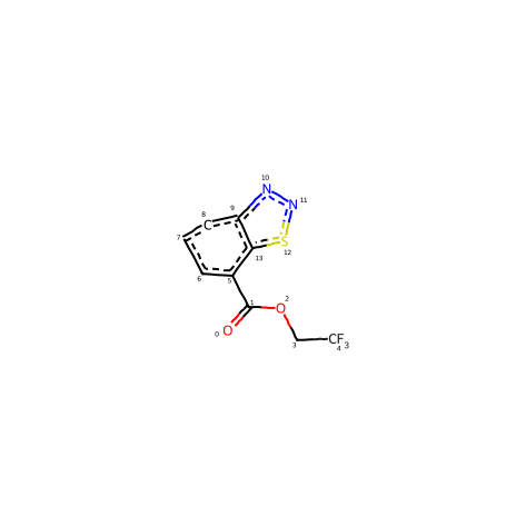 O=C(OCC(F)(F)F)c1cccc2nnsc12